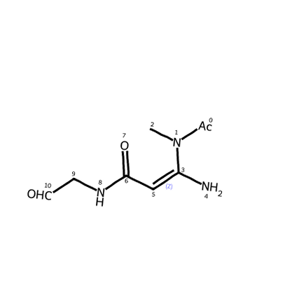 CC(=O)N(C)/C(N)=C\C(=O)NCC=O